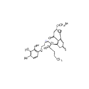 CCCc1c(OCC/C=C\[C@@H](C2=c3c(=O)cc(C(=O)O)oc3=CC(=S)C2)[C@H](O)CCC(F)(F)F)ccc(C(C)=O)c1O